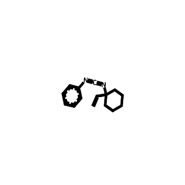 C=CC1(N=C=Nc2ccccc2)CCCCC1